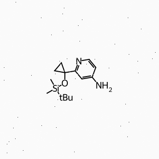 CC(C)(C)[Si](C)(C)OC1(c2cc(N)ccn2)CC1